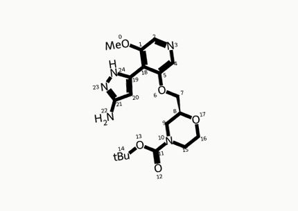 COc1cncc(OC[C@@H]2CN(C(=O)OC(C)(C)C)CCO2)c1-c1cc(N)n[nH]1